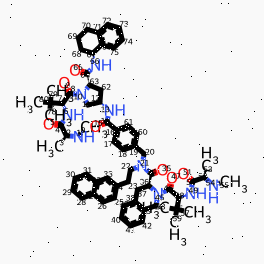 CN[C@@H](C)C(=O)N[C@H](C(=O)N1C[C@@H](NC(=O)c2ccc(CN(CCc3ccc4ccccc4c3)C(=O)[C@@H]3Cc4ccccc4CN3C(=O)[C@@H](NC(=O)[C@H](C)NC)C(C)(C)C)cc2)C[C@H]1C(=O)N[C@@H]1CCCc2ccccc21)C(C)(C)C